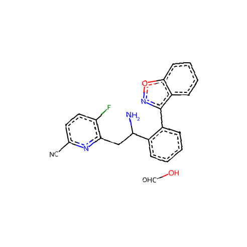 N#Cc1ccc(F)c(CC(N)c2ccccc2-c2noc3ccccc23)n1.O=CO